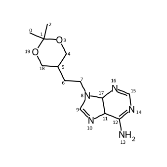 CC1(C)OCC(CCN2C=NC3C(N)=NC=NC32)CO1